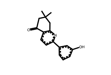 CC1(C)CC(=O)c2ccc(-c3cccc(O)c3)nc2C1